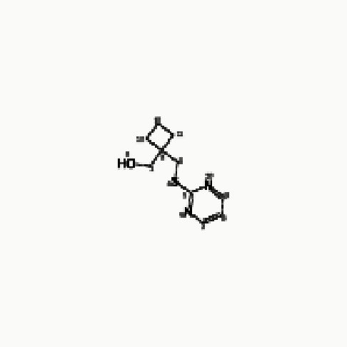 OCC1(CSc2ncccn2)CCC1